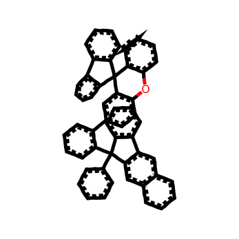 c1ccc(C2(c3ccccc3-c3ccc4c(c3)C3(c5ccccc5-c5ccccc53)c3c(ccc5ccccc35)O4)c3ccccc3-c3cc4ccccc4cc32)cc1